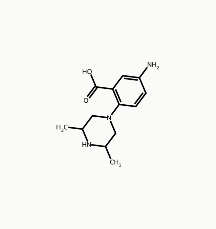 CC1CN(c2ccc(N)cc2C(=O)O)CC(C)N1